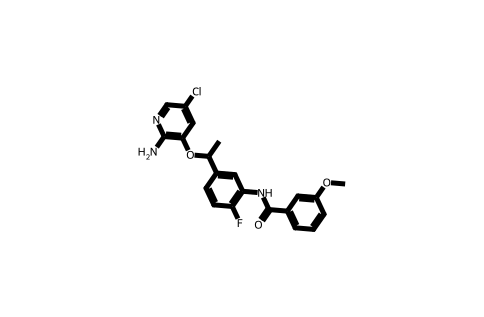 COc1cccc(C(=O)Nc2cc(C(C)Oc3cc(Cl)cnc3N)ccc2F)c1